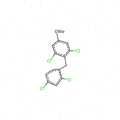 COc1cc(Cl)c(Cc2ccc(Cl)cc2Cl)c(Cl)c1